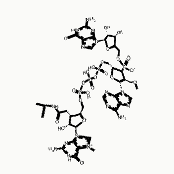 CO[C@@H]1[C@H](P(=O)([O-])OCC2O[C@@H](n3cnc4c(=O)[nH]c(N)nc43)[C@H](O)[C@@H]2O)[C@@H](COP(=O)(O)OP(=O)(O)OP(=O)(O)OC[C@H]2O[C@@H](n3c[n+](C)c4c(=O)[nH]c(N)nc43)[C@H](O)[C@@H]2CC(=O)NC(C)C)O[C@H]1n1cnc2c(N)ncnc21